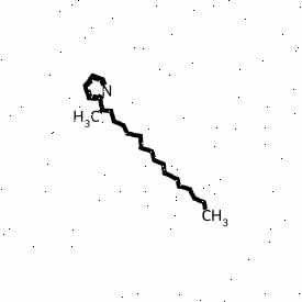 CCCCCCCCCCCCCCCCC(C)c1ccccn1